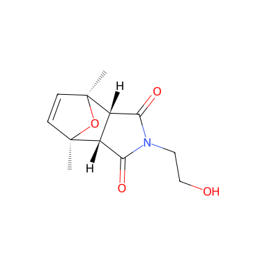 C[C@]12C=C[C@](C)(O1)[C@@H]1C(=O)N(CCO)C(=O)[C@@H]12